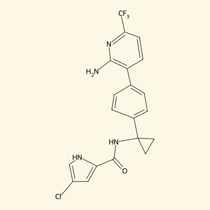 Nc1nc(C(F)(F)F)ccc1-c1ccc(C2(NC(=O)c3cc(Cl)c[nH]3)CC2)cc1